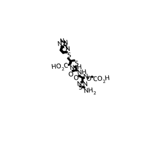 Nc1nc(C(=NOCC(=O)O)C(=O)NC2C(=O)N3C(C(=O)O)=C(CSc4ccc5nnnn5n4)CS[C@@H]23)ns1